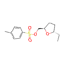 CC[C@H]1CC[C@H](COS(=O)(=O)c2ccc(C)cc2)O1